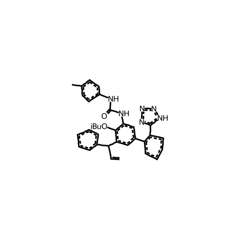 C=CC(c1ccccc1)c1cc(-c2ccccc2-c2nnn[nH]2)cc(NC(=O)Nc2ccc(C)cc2)c1OCC(C)C